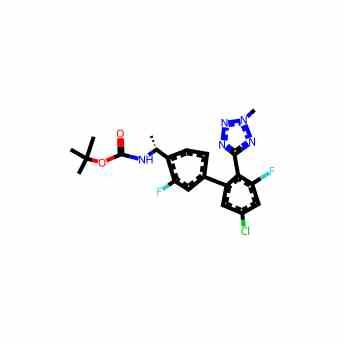 C[C@@H](NC(=O)OC(C)(C)C)c1ccc(-c2cc(Cl)cc(F)c2-c2nnn(C)n2)cc1F